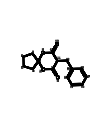 O=C1OC2(CCCC2)OC(=O)C1Cc1ccccc1